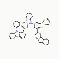 c1ccc(-n2c3ccccc3c3cccc(-c4ccc5c6ccccc6n(-c6cc(-c7ccc8c(c7)-c7ccccc7C8)c7sc8ccccc8c7c6)c5c4)c32)cc1